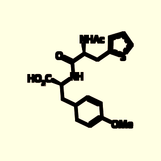 COC1=CCC(C[C@H](NC(=O)[C@H](Cc2cccs2)NC(C)=O)C(=O)O)C=C1